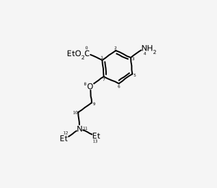 CCOC(=O)c1cc(N)ccc1OCCN(CC)CC